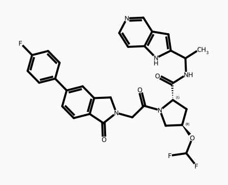 CC(NC(=O)[C@@H]1C[C@@H](OC(F)F)CN1C(=O)CN1Cc2cc(-c3ccc(F)cc3)ccc2C1=O)c1cc2cnccc2[nH]1